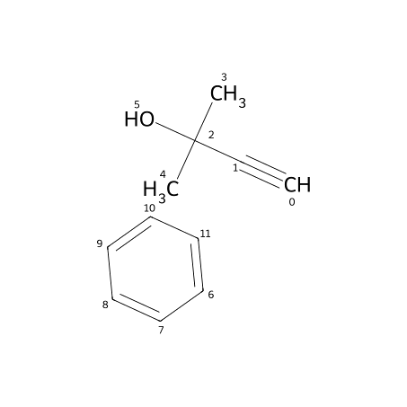 C#CC(C)(C)O.c1ccccc1